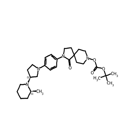 C[C@H]1CCCCN1[C@H]1CCN(c2ccc(N3CCC4(CCN(OC(=O)OC(C)(C)C)CC4)C3=O)cc2)C1